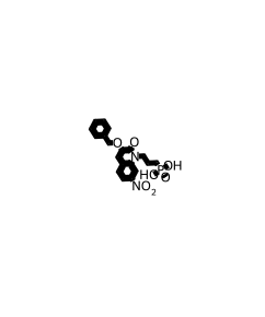 O=c1c(OCc2ccccc2)cc2ccc([N+](=O)[O-])cc2n1CCCP(=O)(O)O